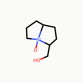 [O-][N+]12CCCC1CCC2CO